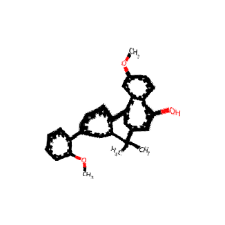 COc1ccc2c(O)cc3c(c2c1)-c1ccc(-c2ccccc2OC)cc1C3(C)C